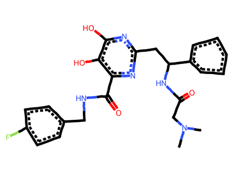 CN(C)CC(=O)NC(Cc1nc(O)c(O)c(C(=O)NCc2ccc(F)cc2)n1)c1ccccc1